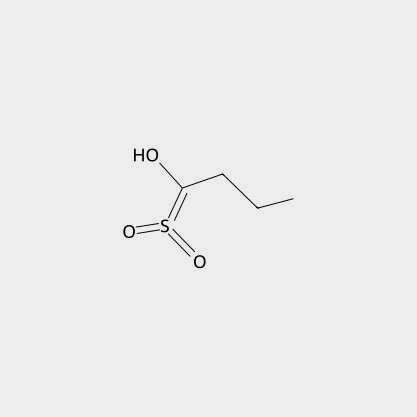 CCCC(O)=S(=O)=O